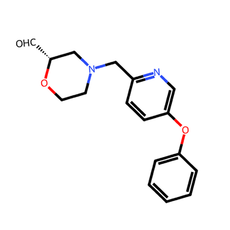 O=C[C@@H]1CN(Cc2ccc(Oc3ccccc3)cn2)CCO1